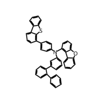 c1ccc(-c2ccccc2-c2cccc(N(c3ccc(-c4cccc5c4sc4ccccc45)cc3)c3cccc4oc5ccccc5c34)c2)cc1